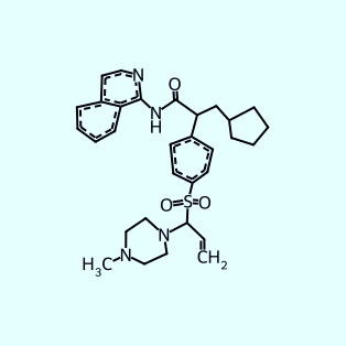 C=CC(N1CCN(C)CC1)S(=O)(=O)c1ccc(C(CC2CCCC2)C(=O)Nc2nccc3ccccc23)cc1